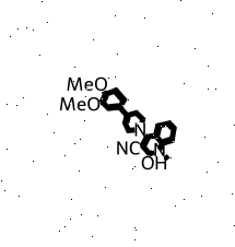 COc1ccc(C2=CCN(C3=C(C#N)C(O)N(C)c4ccccc43)CC2)cc1OC